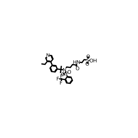 CCc1cnccc1-c1cccc(C(C)(C)N(CCCC(=O)NCCS(=O)(=O)O)S(=O)(=O)c2ccccc2C(F)(F)F)c1